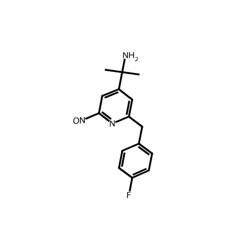 CC(C)(N)c1cc(Cc2ccc(F)cc2)nc(N=O)c1